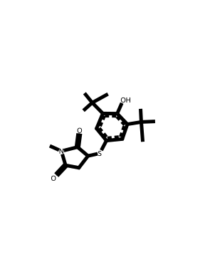 CN1C(=O)CC(Sc2cc(C(C)(C)C)c(O)c(C(C)(C)C)c2)C1=O